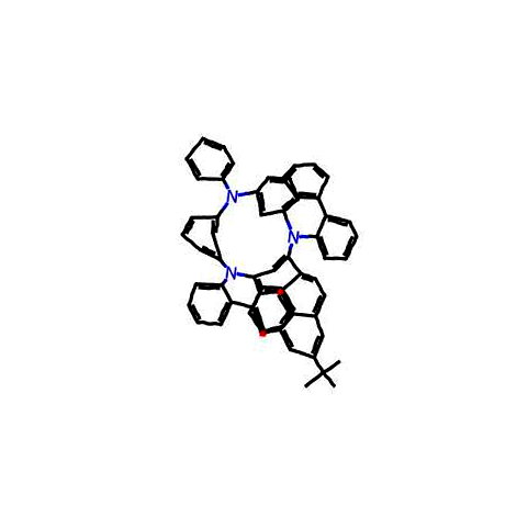 CC(C)(C)c1cc2ccc3c4cc(c5ccc(c1)c2c35)N(c1ccccc1-c1ccccc1)c1cccc(c1)N(c1ccccc1)c1cccc(c1)N4c1ccccc1-c1ccccc1